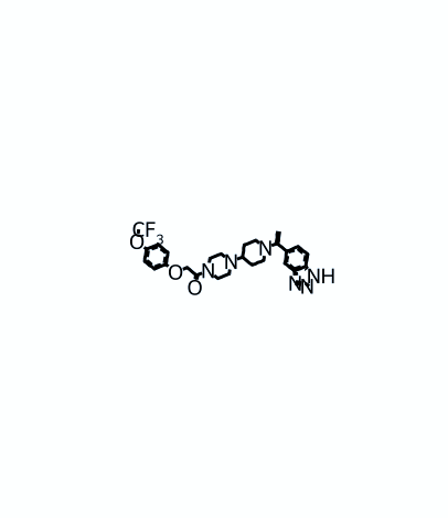 C=C(c1ccc2[nH]nnc2c1)N1CCC(N2CCN(C(=O)COc3ccc(OC(F)(F)F)cc3)CC2)CC1